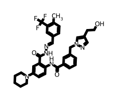 Cc1ccc(/C=N/NC(=O)c2cc(N3CCCCC3)ccc2NC(=O)c2cccc(Cn3cc(CCO)cn3)c2)cc1C(F)(F)F